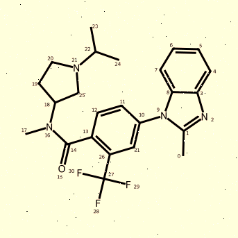 Cc1nc2ccccc2n1-c1ccc(C(=O)N(C)C2CCN(C(C)C)C2)c(C(F)(F)F)c1